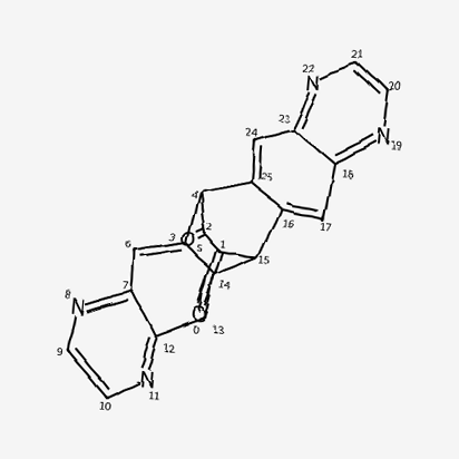 O=C1C(=O)C2c3cc4nccnc4cc3C1c1cc3nccnc3cc12